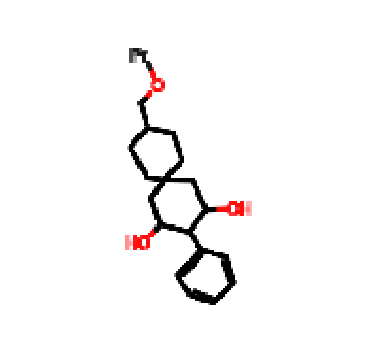 CC(C)OCC1CCC2(CC1)CC(O)C(c1ccccc1)C(O)C2